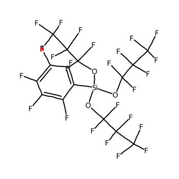 Fc1c(F)c(F)c([Si](OC(F)(F)C(F)(F)C(F)(F)F)(OC(F)(F)C(F)(F)C(F)(F)F)OC(F)(F)C(F)(F)C(F)(F)F)c(F)c1F